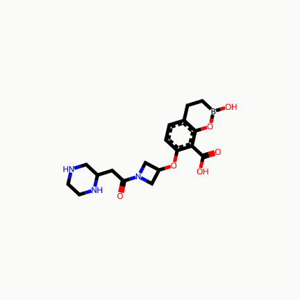 O=C(O)c1c(OC2CN(C(=O)CC3CNCCN3)C2)ccc2c1OB(O)CC2